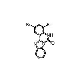 O=c1[nH]c2c(Br)cc(Br)cc2c2nc3ccccc3n12